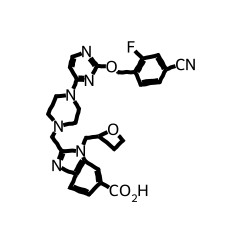 N#Cc1ccc(COc2nccc(N3CCN(Cc4nc5ccc(C(=O)O)cc5n4CC4CCO4)CC3)n2)c(F)c1